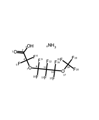 N.O=C(O)C(F)(F)OC(F)(F)C(F)(F)C(F)(F)OC(F)(F)F